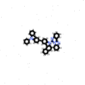 c1ccc(-n2c3ccccc3c3cc(-c4ccc5c(c4)c4c6ccccc6ccc4n5-c4nc5ccccc5c5nc6ccccc6n45)ccc32)cc1